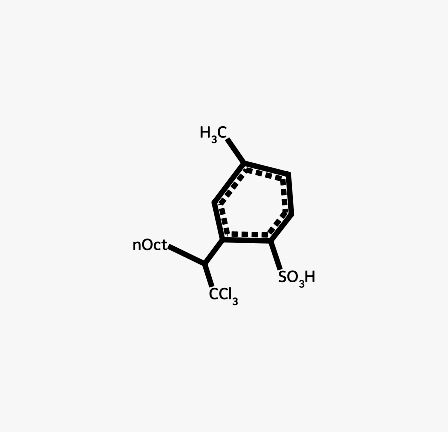 CCCCCCCCC(c1cc(C)ccc1S(=O)(=O)O)C(Cl)(Cl)Cl